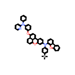 C[Si](C)(C)c1ccc(N(c2ccc3c(c2)OC2=CC=CC4C(Oc5cccc(N(c6ccccc6)c6ccccn6)c5)=CC=C3C24)c2cccc3c2oc2ccccc23)cc1